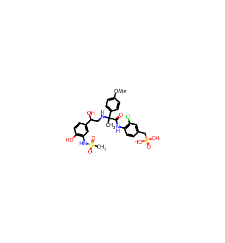 COc1ccc(C(C)(NCC(O)c2ccc(O)c(NS(C)(=O)=O)c2)C(=O)Nc2ccc(CP(=O)(O)O)cc2Cl)cc1